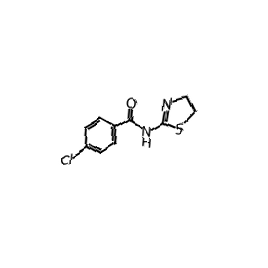 O=C(NC1=NCCS1)c1ccc(Cl)cc1